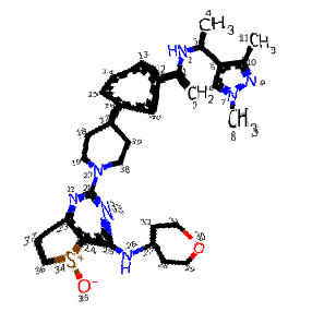 C=C(NC(C)c1cn(C)nc1C)c1cccc(C2CCN(c3nc4c(c(NC5CCOCC5)n3)[S+]([O-])CC4)CC2)c1